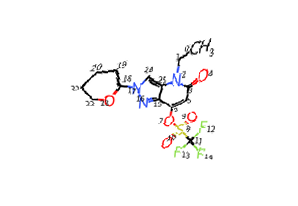 CCn1c(=O)cc(OS(=O)(=O)C(F)(F)F)c2nn(C3CCCCO3)cc21